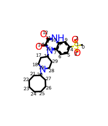 CS(=O)(=O)c1ccc2c(c1)[nH]c(=O)c(=O)n2C1CCN(C2CCCCCCC2)CC1